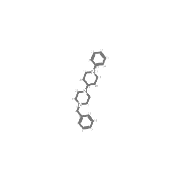 c1ccc(CN2CCN(C3CCN(c4ccccc4)CC3)CC2)cc1